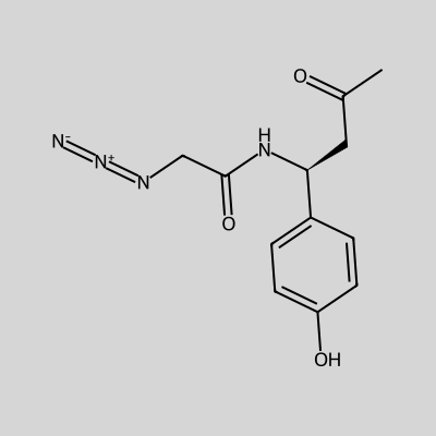 CC(=O)C[C@H](NC(=O)CN=[N+]=[N-])c1ccc(O)cc1